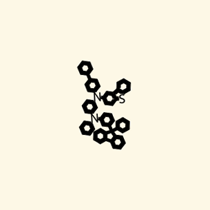 c1ccc(-c2ccc(N(c3cccc(N(c4ccccc4)c4cccc(C5(c6ccccc6)c6ccccc6-c6ccccc65)c4)c3)c3ccc4sc5ccccc5c4c3)cc2)cc1